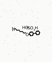 CN(C)CCCCCCCOc1ccc(-c2ccccc2)cc1.O=S(=O)(O)O